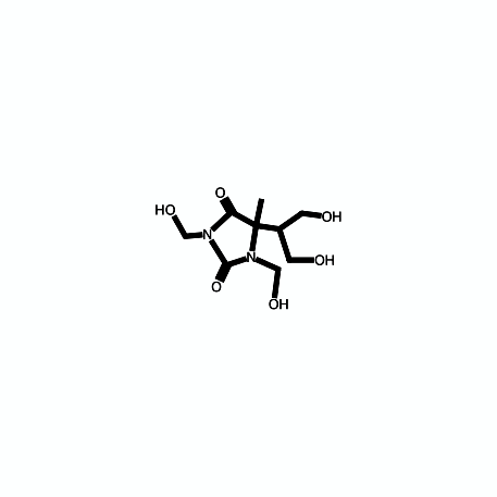 CC1(C(CO)CO)C(=O)N(CO)C(=O)N1CO